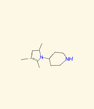 CC1=C(C)N(C2CCNCC2)C(C)C1